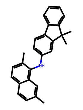 Cc1ccc2ccc(C)c(Nc3ccc4c(c3)C(C)(C)c3ccccc3-4)c2c1